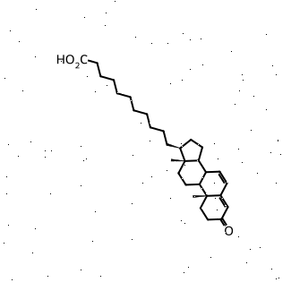 C[C@]12CCC(=O)C=C1C=CC1C2CC[C@@]2(C)C1CC[C@@H]2CCCCCCCCCCC(=O)O